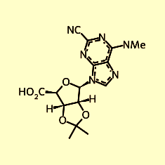 CNc1nc(C#N)nc2c1ncn2[C@@H]1O[C@H](C(=O)O)[C@H]2OC(C)(C)O[C@H]21